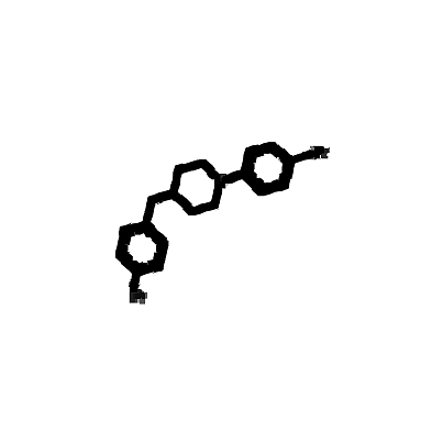 CC(C)c1ccc(CC2CCN(c3ccc(C(C)C)cc3)CC2)cc1